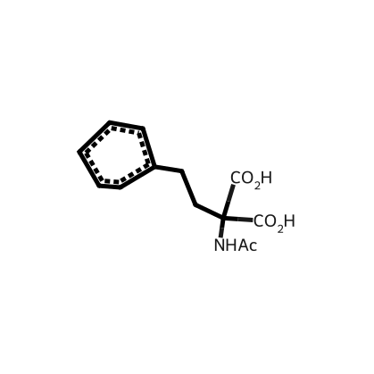 CC(=O)NC(CCc1ccccc1)(C(=O)O)C(=O)O